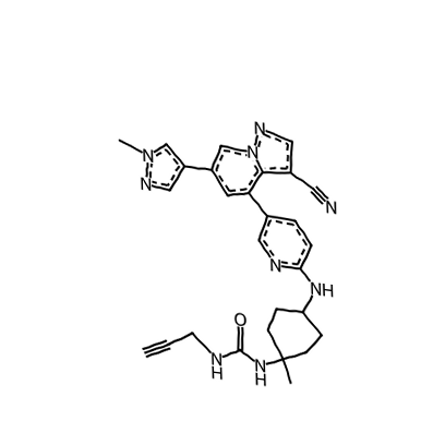 C#CCNC(=O)NC1(C)CCC(Nc2ccc(-c3cc(-c4cnn(C)c4)cn4ncc(C#N)c34)cn2)CC1